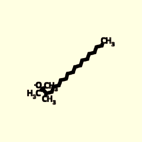 CCCCCCCCCCCCCCCCC(C)C(C)(C)[O]